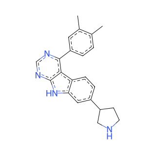 Cc1ccc(-c2ncnc3[nH]c4cc(C5CCNC5)ccc4c23)cc1C